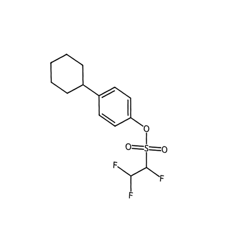 O=S(=O)(Oc1ccc(C2CCCCC2)cc1)C(F)C(F)F